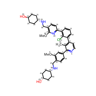 COc1cc(-c2nccc(-c3cccc(-c4ccc(CN[C@H]5CC[C@H](O)CC5)c(OC)n4)c3Cl)c2C)ccc1CN[C@H]1CC[C@@H](O)CC1